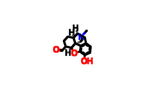 CN1CC[C@]23c4c5ccc(O)c4O[C@H]2C(C=O)CC[C@H]3[C@H]1C5